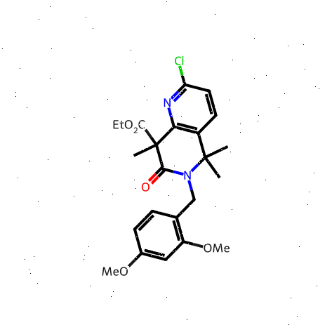 CCOC(=O)C1(C)C(=O)N(Cc2ccc(OC)cc2OC)C(C)(C)c2ccc(Cl)nc21